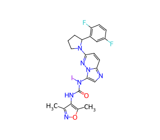 Cc1noc(C)c1NC(=O)N(I)c1cnc2ccc(N3CCCC3c3cc(F)ccc3F)nn12